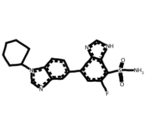 NS(=O)(=O)c1c(F)cc(-c2ccc3c(c2)ncn3C2CCCCC2)c2nc[nH]c12